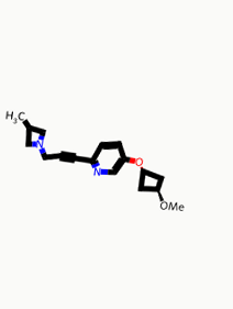 CO[C@H]1C[C@H](Oc2ccc(C#CCN3CC(C)C3)nc2)C1